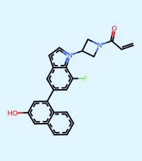 C=CC(=O)N1CC(n2ccc3cc(-c4cc(O)cc5ccccc45)cc(F)c32)C1